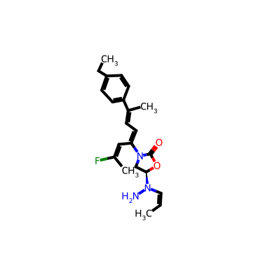 C/C=C\N(N)[C@H]1CN(C(/C=C(\C)F)=C/C=C(\C)c2ccc(CC)cc2)C(=O)O1